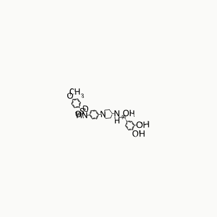 COc1ccc(S(=O)(=O)Nc2ccc(N3CCC(NC[C@H](O)c4ccc(O)c(O)c4)CC3)cc2)cc1